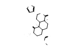 COC(=O)[C@@H]1C[C@H](N)C(=O)[C@H]2[C@@]1(C)CC[C@H]1C(=O)O[C@@H](c3ccoc3)C[C@]21C